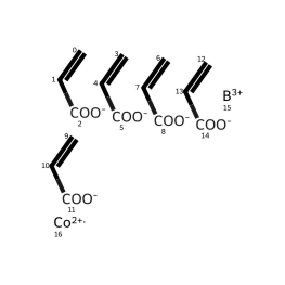 C=CC(=O)[O-].C=CC(=O)[O-].C=CC(=O)[O-].C=CC(=O)[O-].C=CC(=O)[O-].[B+3].[Co+2]